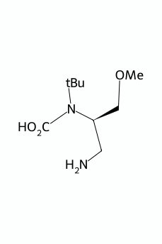 COC[C@@H](CN)N(C(=O)O)C(C)(C)C